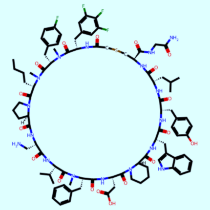 CCCC[C@H]1C(=O)N2CCC[C@@H]2C(=O)N[C@@H](CN)C(=O)N[C@@H](C(C)C)C(=O)N(C)[C@@H](Cc2ccccc2)C(=O)N[C@@H](CC(=O)O)C(=O)N2CCCC[C@@H]2C(=O)N[C@@H](Cc2c[nH]c3ccccc23)C(=O)N[C@@H](Cc2ccc(O)cc2)C(=O)N[C@@H](CC(C)C)C(=O)N[C@H](C(=O)NCC(N)=O)CSCC(=O)N[C@@H](Cc2cc(F)c(F)c(F)c2)C(=O)N(C)[C@@H](Cc2ccc(F)cc2)C(=O)N1C